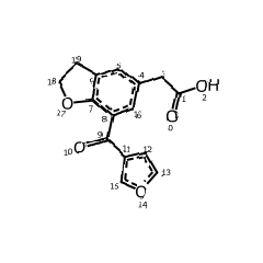 O=C(O)Cc1cc2c(c(C(=O)c3ccoc3)c1)OCC2